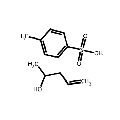 C=CCC(C)O.Cc1ccc(S(=O)(=O)O)cc1